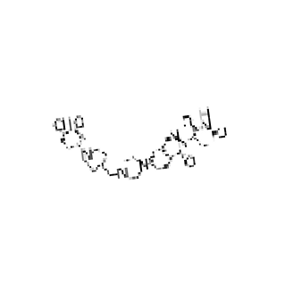 O=Cc1ccc(N2CCC(CN3CCN(c4ccc5c(=O)n(C6CCC(=O)NC6=O)ncc5c4)CC3)CC2)cc1